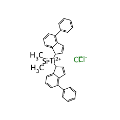 C[Si](C)=[Ti+2]([CH]1C=Cc2c(-c3ccccc3)cccc21)[CH]1C=Cc2c(-c3ccccc3)cccc21.[Cl-].[Cl-]